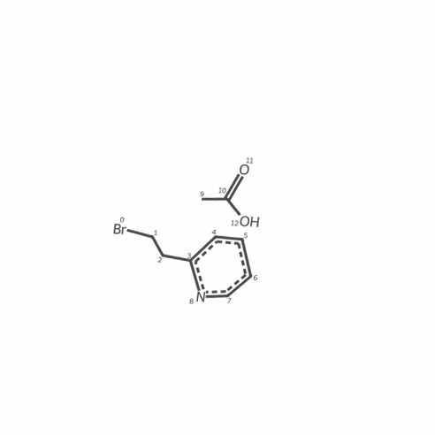 BrCCc1ccccn1.CC(=O)O